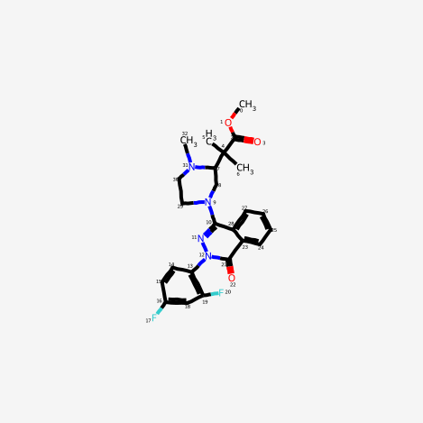 COC(=O)C(C)(C)C1CN(c2nn(-c3ccc(F)cc3F)c(=O)c3ccccc23)CCN1C